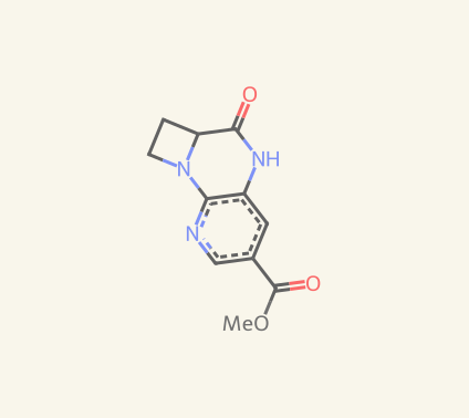 COC(=O)c1cnc2c(c1)NC(=O)C1CCN21